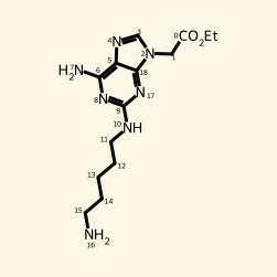 CCOC(=O)Cn1cnc2c(N)nc(NCCCCCN)nc21